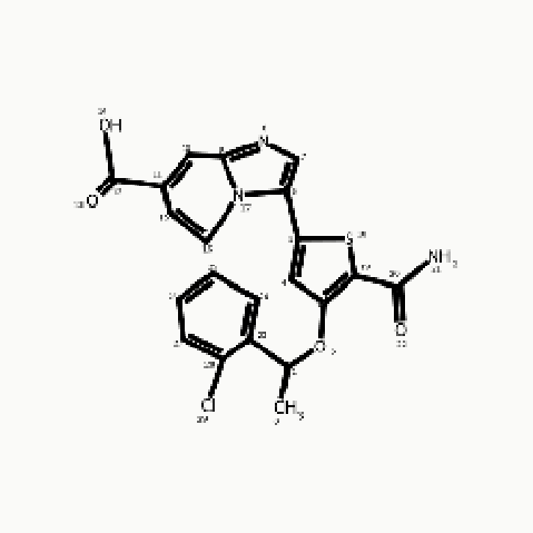 CC(Oc1cc(-c2cnc3cc(C(=O)O)ccn23)sc1C(N)=O)c1ccccc1Cl